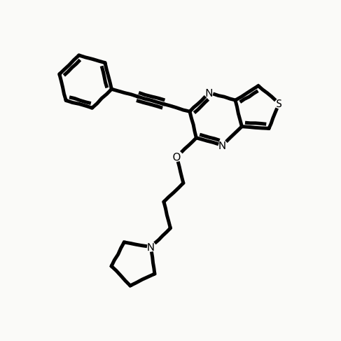 C(#Cc1nc2cscc2nc1OCCCN1CCCC1)c1ccccc1